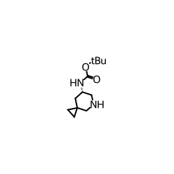 CC(C)(C)OC(=O)N[C@@H]1CNCC2(CC2)C1